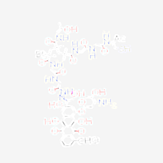 CCC(C)(CC(C)(CC(C)(C)C(=O)NCC(=O)NCC(=O)NC(CS)C(C)=O)C(=O)NCC(C)O)C(=O)NCC(=O)NCC(=O)N/N=C(\CO)[C@]1(O)CC2C(O)=C3C(=O)C4C=CC=C(C=O)C4C(=O)C3=C(O)C2[C@@H](OC2CC(N)C(O)CO2)C1